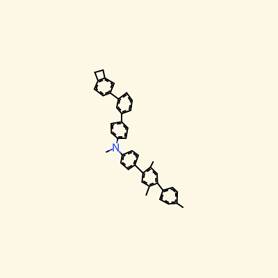 Cc1ccc(-c2cc(C)c(-c3ccc(N(C)c4ccc(-c5cccc(-c6ccc7c(c6)CC7)c5)cc4)cc3)cc2C)cc1